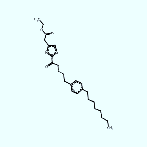 CCCCCCCCc1ccc(CCCCC(=O)c2nc(CC(=O)OCC)cs2)cc1